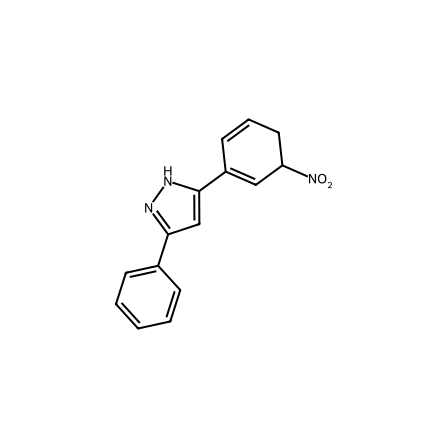 O=[N+]([O-])C1C=C(c2cc(-c3ccccc3)n[nH]2)C=CC1